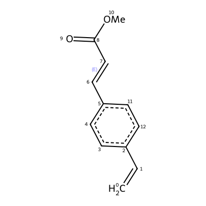 C=Cc1ccc(/C=C/C(=O)OC)cc1